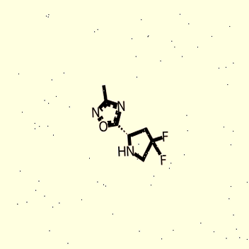 Cc1noc([C@@H]2CC(F)(F)CN2)n1